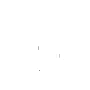 Bc1cccc2c1c(C(=O)NCCC1CCCCCC1)cn2CC